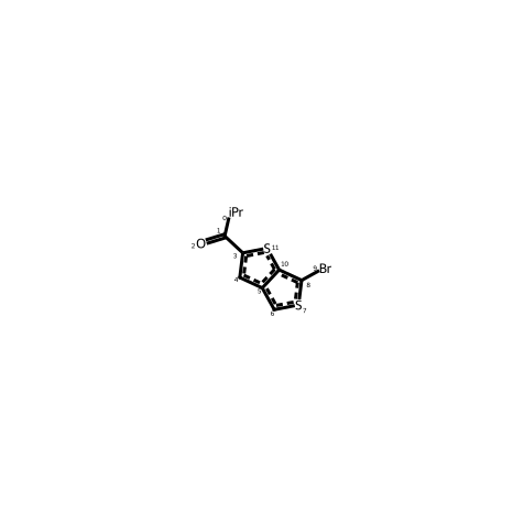 CC(C)C(=O)c1cc2csc(Br)c2s1